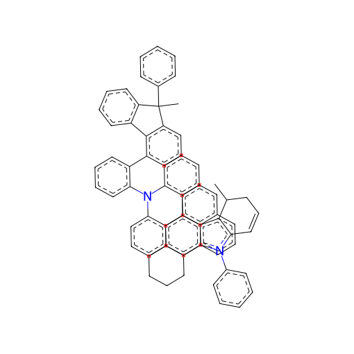 CC1CC=Cc2c1c1c(-c3ccccc3N(c3ccccc3-c3cccc4c3-c3ccccc3C4(C)c3ccccc3)c3ccccc3-c3cccc4cccc(C5CCCCC5)c34)cccc1n2-c1ccccc1